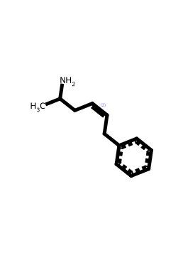 CC(N)C/C=C\Cc1ccccc1